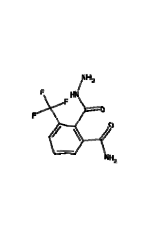 NNC(=O)c1c(C(N)=O)cccc1C(F)(F)F